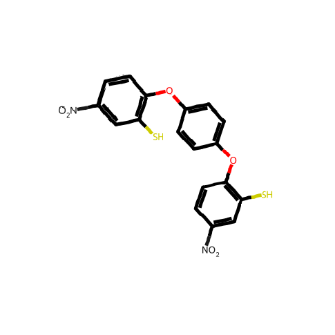 O=[N+]([O-])c1ccc(Oc2ccc(Oc3ccc([N+](=O)[O-])cc3S)cc2)c(S)c1